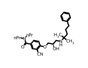 CCCN(CCC)C(=O)c1ccc(OC[C@H](O)CNC(C)(C)CCCc2ccccc2)c(C#N)c1